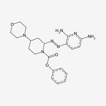 Nc1ccc(N=NC2CC(N3CCOCC3)CCN2C(=O)Oc2ccccc2)c(N)n1